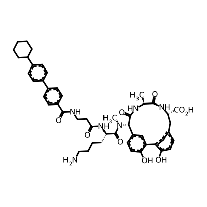 C[C@@H]1NC(=O)[C@@H](N(C)C(=O)[C@H](CCCCN)NC(=O)CCNC(=O)c2ccc(-c3ccc(C4CCCCC4)cc3)cc2)c2ccc(O)c(c2)-c2cc(ccc2O)C[C@@H](C(=O)O)NC1=O